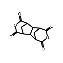 O=C1OC(=O)C2CC1C1C3CC(C(=O)OC3=O)C21